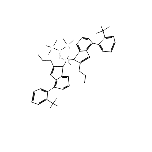 CCCC1=Cc2c(-c3ccccc3C(F)(F)F)cccc2[CH]1[Zr]([Cl])([Cl])([BH]N([Si](C)(C)C)[Si](C)(C)C)[CH]1C(CCC)=Cc2c(-c3ccccc3C(F)(F)F)cccc21